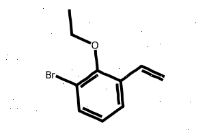 C=Cc1cccc(Br)c1OCC